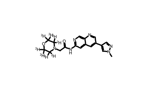 [2H]C1([2H])OC([2H])([2H])C([2H])([2H])N(CC(=O)Nc2cc3cc(-c4cnn(C)c4)cnc3cn2)C1([2H])[2H]